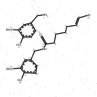 COc1cc(CN)ccc1O.COc1cc(CNC(=O)CCCCC=CC(C)C)ccc1O